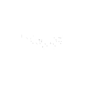 C=CC(=O)Nc1cc(C(=O)N2CC[C@@H](Nc3ncc(Cl)cn3)C2)no1